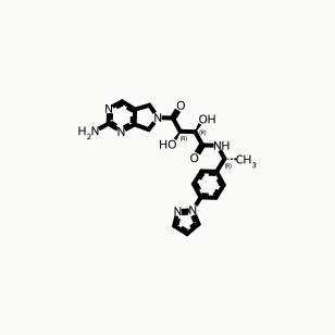 C[C@@H](NC(=O)[C@H](O)[C@@H](O)C(=O)N1Cc2cnc(N)nc2C1)c1ccc(-n2cccn2)cc1